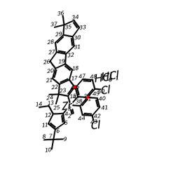 Cl.Cl.[CH2]=[Zr]([C]1=CC(C(C)(C)C)=CC1CC)([C]1=Cc2cc3c(cc2C1(C)C)Cc1cc2c(cc1-3)C=CC2(C)C)([c]1cccc(Cl)c1)[c]1cccc(Cl)c1